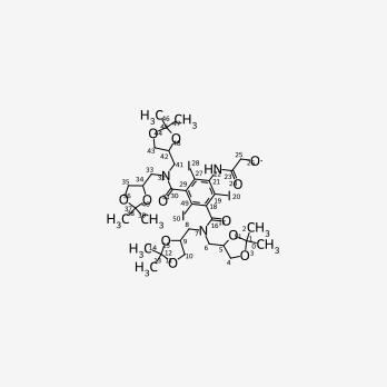 CC1(C)OCC(CN(CC2COC(C)(C)O2)C(=O)c2c(I)c(NC(=O)C[O])c(I)c(C(=O)N(CC3COC(C)(C)O3)CC3COC(C)(C)O3)c2I)O1